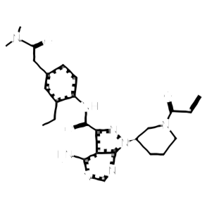 C=CC(=O)N1CCC[C@@H](n2nc(C(=O)Nc3ccc(CC(=O)N(C)C)cc3CC)c3c(N)ncnc32)C1